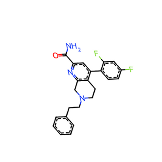 NC(=O)c1cc(-c2ccc(F)cc2F)c2c(n1)CN(CCc1ccccc1)CC2